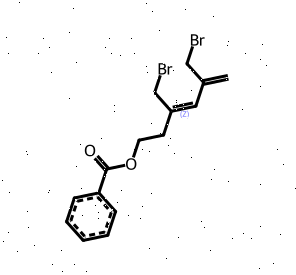 C=C(/C=C(\CBr)CCOC(=O)c1ccccc1)CBr